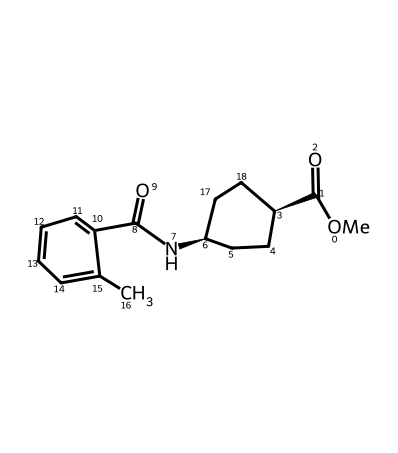 COC(=O)[C@H]1CC[C@@H](NC(=O)c2ccccc2C)CC1